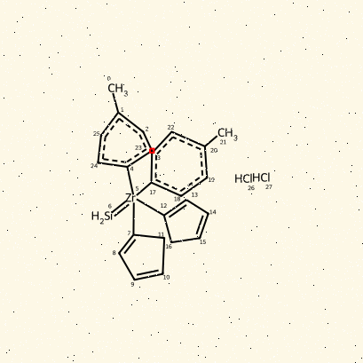 Cc1cc[c]([Zr](=[SiH2])([C]2=CC=CC2)([C]2=CC=CC2)[c]2ccc(C)cc2)cc1.Cl.Cl